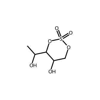 CC(O)C1OS(=O)(=O)OCC1O